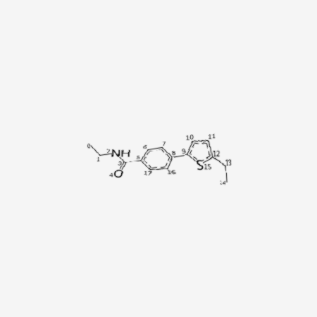 CCNC(=O)c1ccc(-c2ccc(CC)s2)cc1